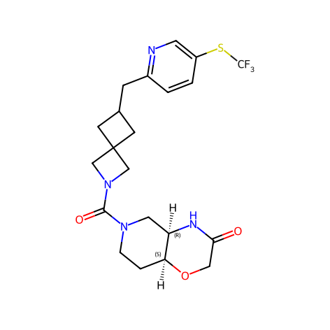 O=C1CO[C@H]2CCN(C(=O)N3CC4(CC(Cc5ccc(SC(F)(F)F)cn5)C4)C3)C[C@H]2N1